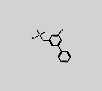 CC(C)(C)[Si](C)(C)Oc1cc(Br)cc(-c2ccccc2)c1